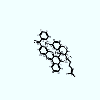 CC(C)=CCC[C@@]1(C)Oc2c(c3nc4cc(C(=O)c5ccccc5)ccc4nc3c3ccccc23)[C@@H]2c3cc(Br)ccc3OCC21